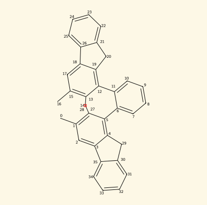 Cc1cc2c(c(-c3ccccc3-c3c(C)c(C)cc4c3Cc3ccccc3-4)c1C)Cc1ccccc1-2